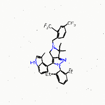 CCc1cccc(CC)c1-n1nc2c(c1-c1cccc3[nH]cc(C)c13)CN(Cc1ccc(C(F)(F)F)cc1C(F)(F)F)C2(C)C